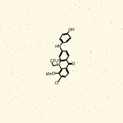 COc1c(Cl)ccc2c(=O)c3ccc(Nc4ccc(O)cc4)cc3n(CC(=O)O)c12